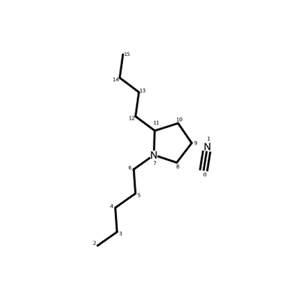 C#N.CCCCCN1CCCC1CCCC